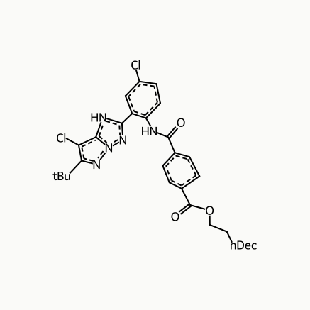 CCCCCCCCCCCCOC(=O)c1ccc(C(=O)Nc2ccc(Cl)cc2-c2nn3nc(C(C)(C)C)c(Cl)c3[nH]2)cc1